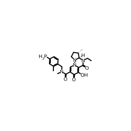 CCN1C(=O)c2c(O)c(=O)c(C(=O)N(C)Cc3ccc(P)cc3C)cn2N2CC[C@H](C)[C@@H]12